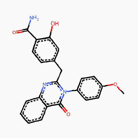 COc1ccc(-n2c(Cc3ccc(C(N)=O)c(O)c3)nc3ccccc3c2=O)cc1